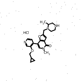 CC1CNCCN1Cc1cc2c(=O)n(C)cc(-c3ccncc3OCC3CC3)c2o1.Cl